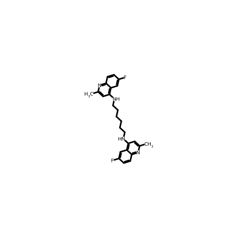 Cc1cc(NCCCCCCNc2cc(C)nc3ccc(F)cc23)c2cc(F)ccc2n1